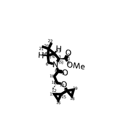 COC(=O)[C@@H]1[C@@H]2[C@H](CN1C(=O)C[C@@H](C)OC1(C3CC3)CC1)C2(C)C